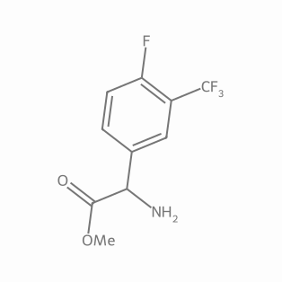 COC(=O)C(N)c1ccc(F)c(C(F)(F)F)c1